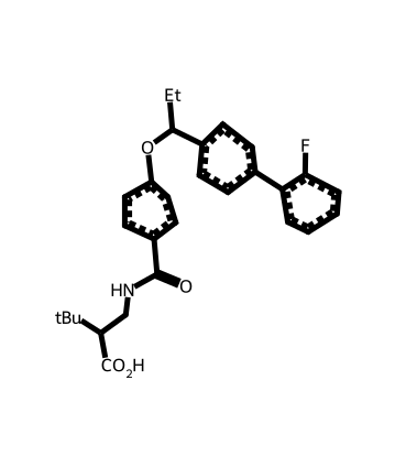 CCC(Oc1ccc(C(=O)NCC(C(=O)O)C(C)(C)C)cc1)c1ccc(-c2ccccc2F)cc1